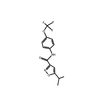 CC(C)c1cc(C(=O)Nc2ccc(OC(F)(F)F)cc2)no1